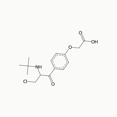 CC(C)(C)NC(CCl)C(=O)c1ccc(OCC(=O)O)cc1